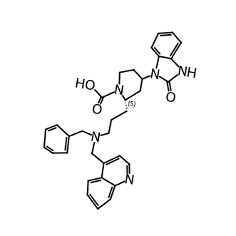 O=C(O)N1CCC(n2c(=O)[nH]c3ccccc32)C[C@@H]1CCCN(Cc1ccccc1)Cc1ccnc2ccccc12